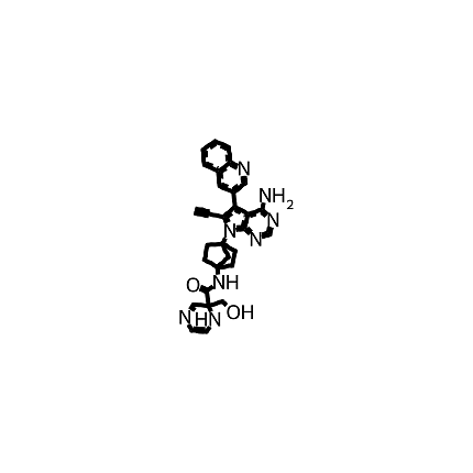 C#Cc1c(-c2cnc3ccccc3c2)c2c(N)ncnc2n1C12CCC(NC(=O)C3(CO)C=NC=CN3)(CC1)C2